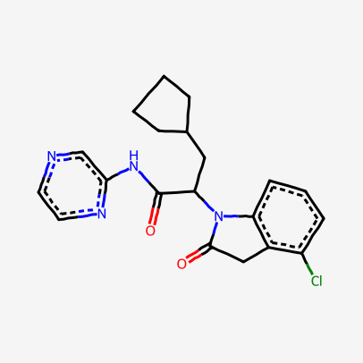 O=C(Nc1cnccn1)C(CC1CCCC1)N1C(=O)Cc2c(Cl)cccc21